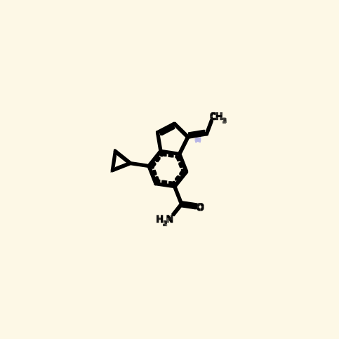 C/C=C1\C=Cc2c1cc(C(N)=O)cc2C1CC1